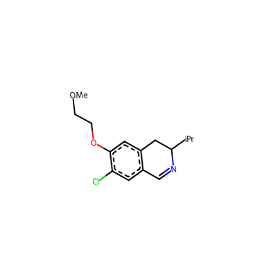 COCCOc1cc2c(cc1Cl)C=NC(C(C)C)C2